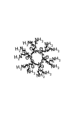 NCCN(CCN)CC(=O)N1CCN(C(=O)CN(CCN)CCN)CCN(C(=O)CN(CCN)CCN)CCN(C(=O)CN(CCN)CCN)CCN(C(=O)CN(CCN)CCN)CCN(C(=O)CN(CCN)CCN)CC1